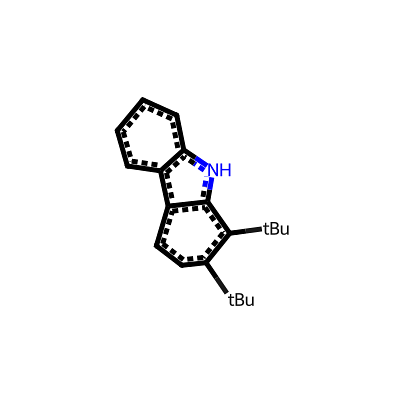 CC(C)(C)c1ccc2c([nH]c3ccccc32)c1C(C)(C)C